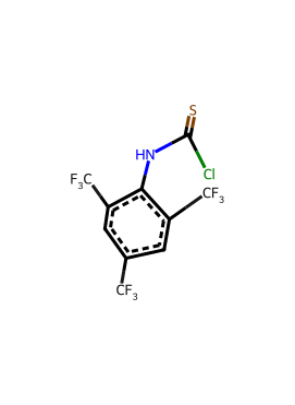 FC(F)(F)c1cc(C(F)(F)F)c(NC(=S)Cl)c(C(F)(F)F)c1